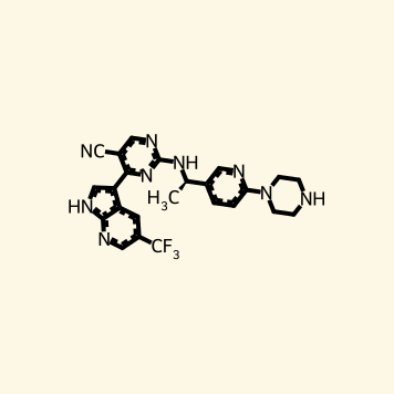 C[C@@H](Nc1ncc(C#N)c(-c2c[nH]c3ncc(C(F)(F)F)cc23)n1)c1ccc(N2CCNCC2)nc1